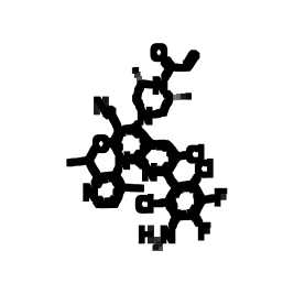 C=CC(=O)N1[C@H](C)CN(c2c(C#N)c(=O)n(-c3c(C)ccnc3C(C)C)c3nc(-c4c(Cl)c(N)c(F)c(F)c4Cl)c(Cl)cc23)C[C@@H]1C